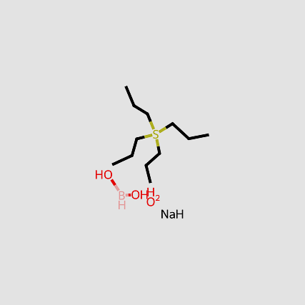 CCCS(CCC)(CCC)CCC.O.OBO.[NaH]